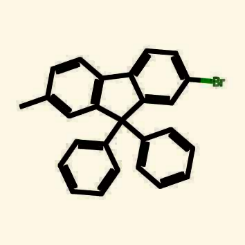 Cc1ccc2c(c1)C(c1ccccc1)(c1ccccc1)c1cc(Br)ccc1-2